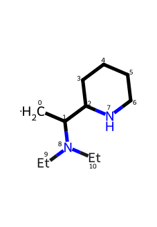 [CH2]C(C1CCCCN1)N(CC)CC